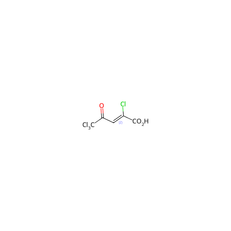 O=C(O)/C(Cl)=C/C(=O)C(Cl)(Cl)Cl